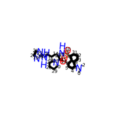 CN(C)c1cccc2c(S(=O)(=O)N[C@@H](CCCNc3ncc[nH]3)C(=O)N3CCCCC3)cccc12